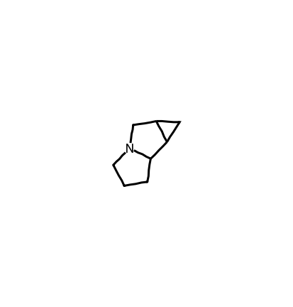 C1CC2C3CC3CN2C1